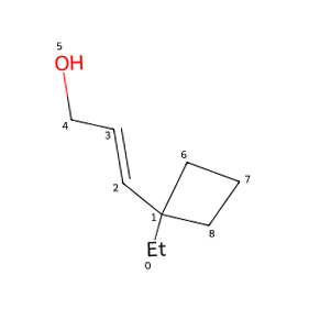 CCC1(C=CCO)CCC1